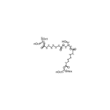 CCCCCCCCC(CCCCCC)OC(=O)CCCCCCC(=O)OCC(CO)COC(=O)CCCCCCC(=O)OC(CCCCCCCC)CCCCCCCC